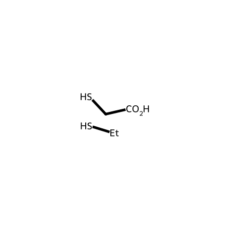 CCS.O=C(O)CS